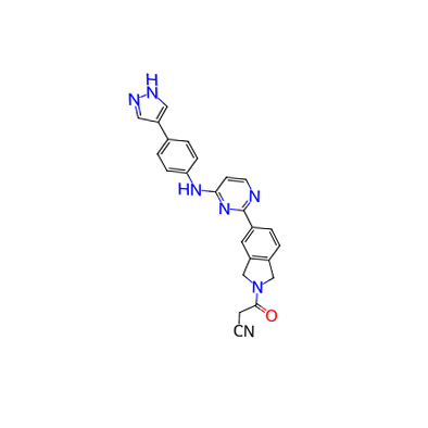 N#CCC(=O)N1Cc2ccc(-c3nccc(Nc4ccc(-c5cn[nH]c5)cc4)n3)cc2C1